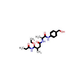 CCOC(NC(=O)CC)C(C)CC(=O)N[C@@H](C)C(=O)Nc1ccc(CO)cc1